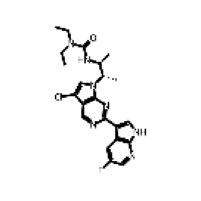 CCN(CC)C(=O)N[C@@H](C)[C@H](C)n1cc(Cl)c2cnc(-c3c[nH]c4ncc(F)cc34)nc21